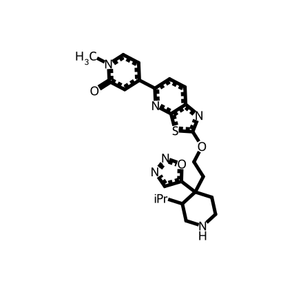 CC(C)C1CNCCC1(CCOc1nc2ccc(-c3ccn(C)c(=O)c3)nc2s1)c1cnno1